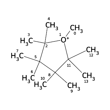 C[O+]1C(C)(C)C(C)(C)C(C)(C)C1(C)C